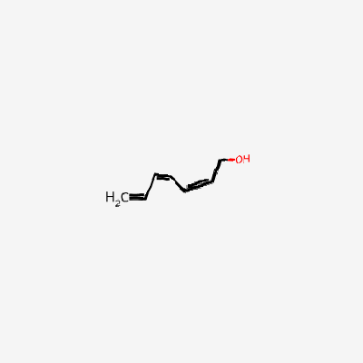 C=C/C=C\C=C/CO